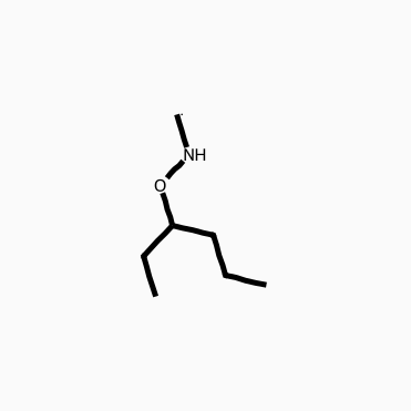 [CH2]NOC(CC)CCC